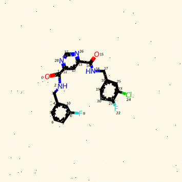 O=C(NCc1cccc(F)c1)c1cc(C(=O)NCc2ccc(F)c(Cl)c2)ncn1